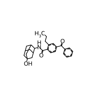 CCCc1cc(C(=O)c2ccccc2)ccc1C(=O)NC1C2CC3CC1CC(O)(C3)C2